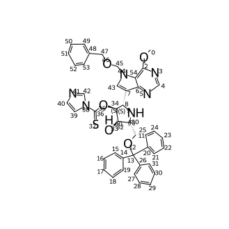 COc1ncnc2c([C@@H]3N[C@H](COC(c4ccccc4)(c4ccccc4)c4ccccc4)[C@@H](O)[C@H]3OC(=S)n3ccnc3)cn(COCc3ccccc3)c12